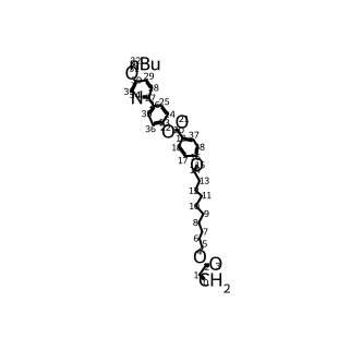 C=CC(=O)OCCCCCCCCCCOc1ccc(C(=O)Oc2ccc(-c3ccc(OCCCC)cn3)cc2)cc1